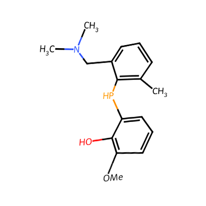 COc1cccc(Pc2c(C)cccc2CN(C)C)c1O